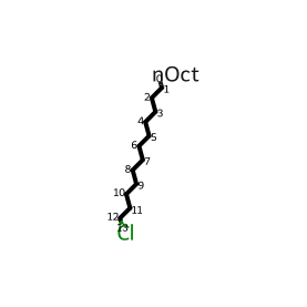 [CH2]CCCCCCCCCCCCCCCCCCCCl